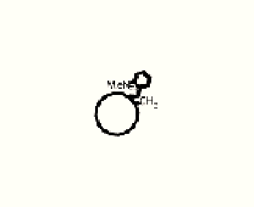 CCC1(Cc2ccccc2NC)CCCCCCCCCCCCCCC1C